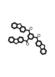 O=C(c1cc(C(=O)c2ccc3c(c2)Cc2ccccc2-3)cc(C(=O)c2ccc3c(c2)Cc2ccccc2-3)c1)c1ccc2c(c1)Cc1ccccc1-2